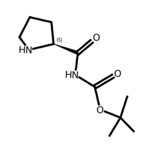 CC(C)(C)OC(=O)NC(=O)[C@@H]1CCCN1